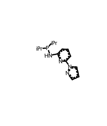 CC(C)P(Nc1cccc(-n2cccn2)n1)C(C)C